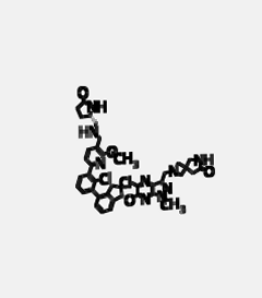 COc1nc(-c2cccc(-c3cccc4c3CC[C@@H]4Oc3nc4c(nc3Cl)c(CN3CC5(CNC(=O)C5)C3)nn4C)c2Cl)ccc1CNC[C@@H]1CCC(=O)N1